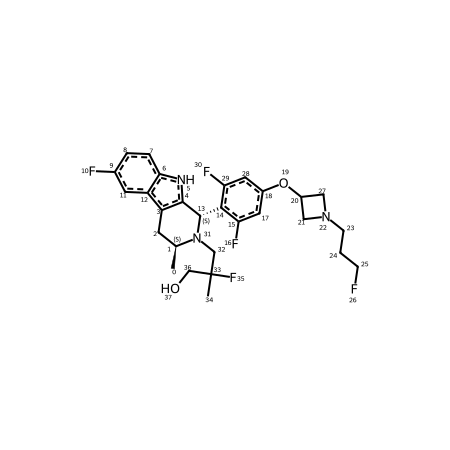 C[C@H]1Cc2c([nH]c3ccc(F)cc23)[C@H](c2c(F)cc(OC3CN(CCCF)C3)cc2F)N1CC(C)(F)CO